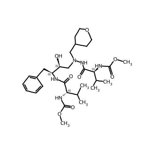 COC(=O)N[C@H](C(=O)N[C@@H](Cc1ccccc1)[C@@H](O)CN(CC1CCOCC1)NC(=O)[C@@H](NC(=O)OC)C(C)C)C(C)C